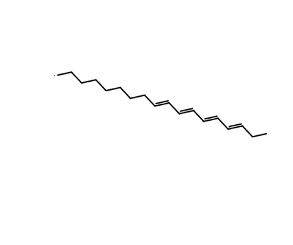 [CH2]CCCCCCCC=CC=CC=CC=CCC